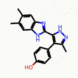 Cc1cc2nc(-c3[nH]nc(C)c3-c3ccc(O)cc3)[nH]c2cc1C